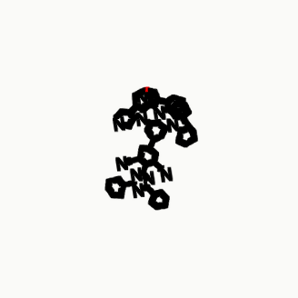 N#Cc1cc(-c2cc(-n3c4ccccc4c4ccccc43)c(-n3c4ccccc4c4ccncc43)c(-n3c4ccccc4c4ccncc43)c2)cc(C#N)c1-c1nc(-c2ccccc2)nc(-c2ccccc2)n1